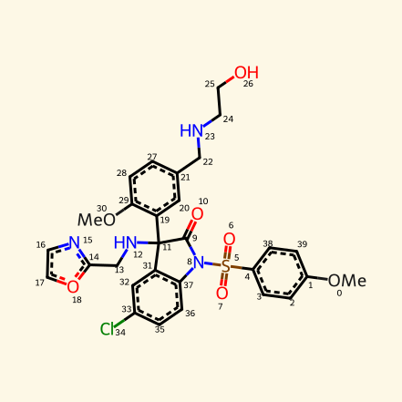 COc1ccc(S(=O)(=O)N2C(=O)C(NCc3ncco3)(c3cc(CNCCO)ccc3OC)c3cc(Cl)ccc32)cc1